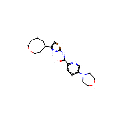 O=C(Nc1nc(C2CCCCOCC2)cs1)c1ccc(N2CCOCC2)cn1